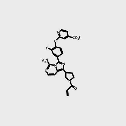 C=CC(=O)N1CCC(c2nc(-c3ccc(Oc4cc(C(=O)O)ccn4)c(F)c3)n3c(N)nccc23)C1